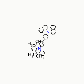 CC1(C)C2=C3C(CC=C2)C(C)(C)c2cc(-c4ccc(N(c5cccc6ccccc56)c5cccc6ccccc56)cc4)ccc2N3C2=C1CCC=C2